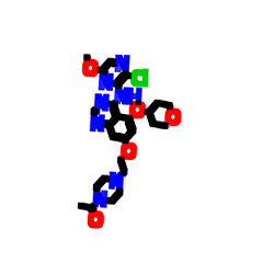 COc1cnc(Cl)c(Nc2ncnc3cc(OCCN4CCN(C(C)=O)CC4)cc(OC4CCOCC4)c23)n1